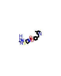 Cc1ccnc(Cc2ccc(OC(=O)N3CCC(Sc4nc[nH]n4)CC3)cc2)c1